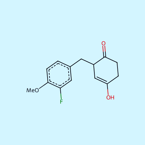 COc1ccc(CC2C=C(O)CCC2=O)cc1F